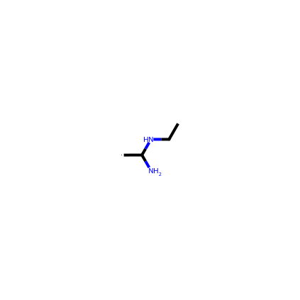 [CH2]C(N)NCC